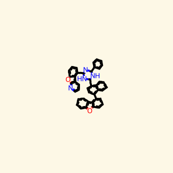 c1ccc(C2N=C(c3cccc4oc5ncccc5c34)NC(c3ccc(-c4cccc5oc6ccccc6c45)c4ccccc34)N2)cc1